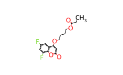 CCC(=O)OCCCCOc1cc(=O)oc2c(F)cc(F)cc12